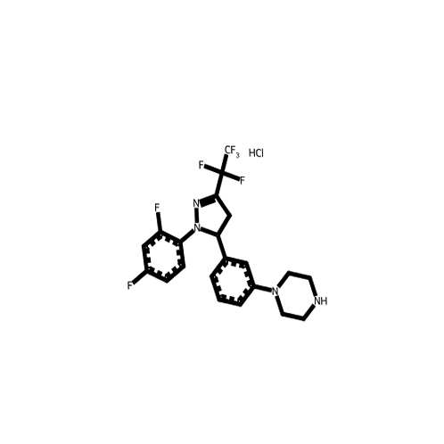 Cl.Fc1ccc(N2N=C(C(F)(F)C(F)(F)F)CC2c2cccc(N3CCNCC3)c2)c(F)c1